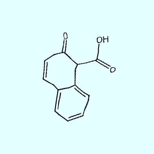 O=C(O)C1C(=O)C=Cc2ccccc21